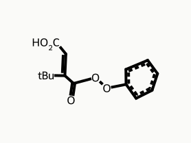 CC(C)(C)C(=CC(=O)O)C(=O)OOc1ccccc1